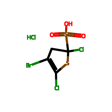 Cl.O=S(=O)(O)C1(Cl)CC(Br)=C(Cl)S1